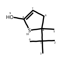 CC(C)(C)C1(C)CC=C(O)S1